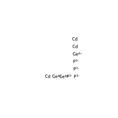 [Cd].[Cd].[Cd].[Ge+4].[Ge+4].[Ge+4].[P-3].[P-3].[P-3].[P-3]